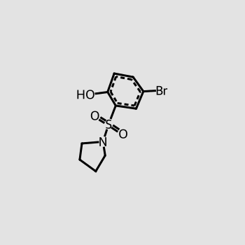 O=S(=O)(c1cc(Br)ccc1O)N1CCCC1